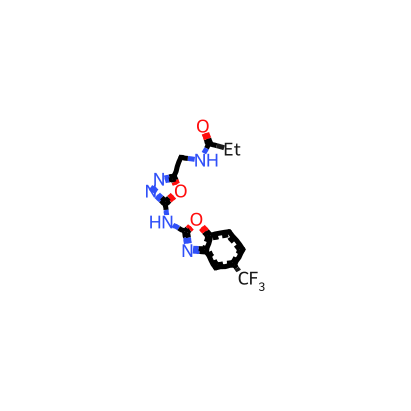 CCC(=O)NCc1nnc(Nc2nc3cc(C(F)(F)F)ccc3o2)o1